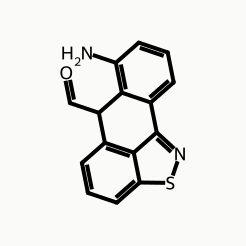 Nc1cccc2c1C(C=O)c1cccc3snc-2c13